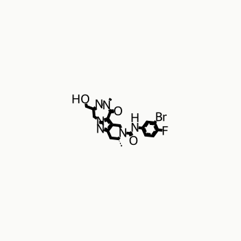 C[C@@H]1Cc2nn3c(c2CN1C(=O)Nc1ccc(F)c(Br)c1)C(=O)N(C)N=C(CO)C3